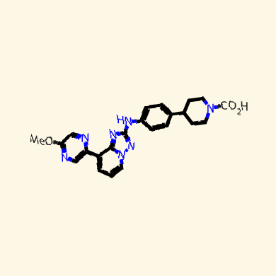 COc1cnc(-c2cccn3nc(Nc4ccc(C5CCN(C(=O)O)CC5)cc4)nc23)cn1